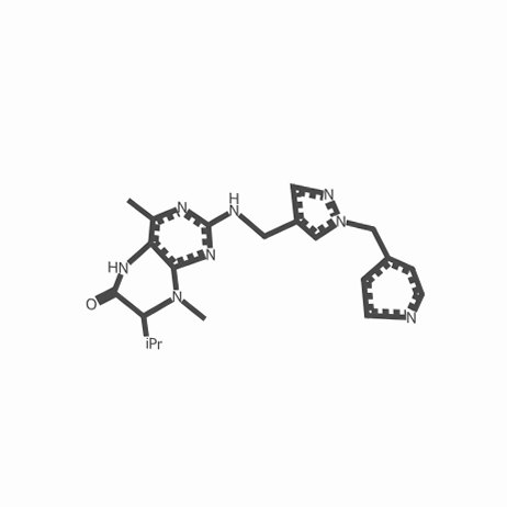 Cc1nc(NCc2cnn(Cc3ccncc3)c2)nc2c1NC(=O)C(C(C)C)N2C